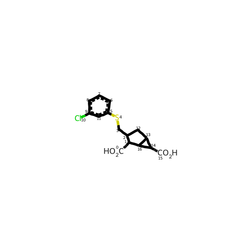 O=C(O)C1C(CSc2cccc(Cl)c2)CC2C(C(=O)O)C21